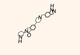 O=C1c2ccc(C3CCN(Cc4ccc5cn[nH]c5c4)CC3)cc2CN1C1CCCNC1